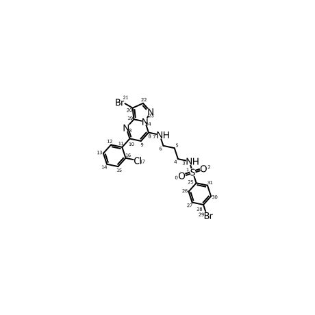 O=S(=O)(NCCCNc1cc(-c2ccccc2Cl)nc2c(Br)cnn12)c1ccc(Br)cc1